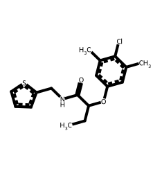 CCC(Oc1cc(C)c(Cl)c(C)c1)C(=O)NCc1cccs1